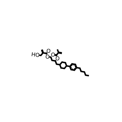 C=C(C)C(=O)OC(CCOC(=O)C(=C)CO)CC1CCC(c2ccc(CCCCC)cc2)CC1